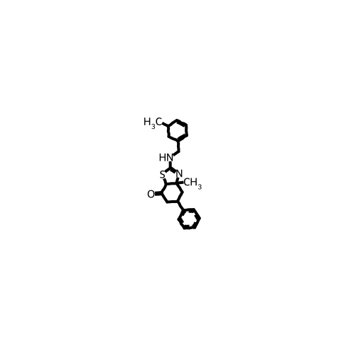 CC1C=CC=C(CNC2=NC3(C)CC(c4ccccc4)CC(=O)C3S2)C1